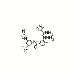 Cc1ccc(C(=O)Nc2cc(N3CC[C@H](N(C)C)C3)cc(C(F)(F)F)c2)cc1N(N)/C=C(\N)c1cnn(C)c1C